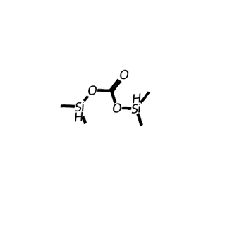 C[SiH](C)OC(=O)O[SiH](C)C